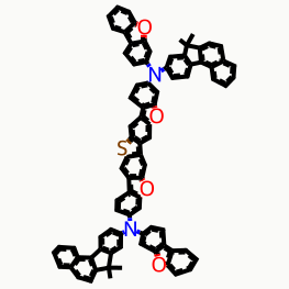 CC1(C)c2cc(N(c3ccc4c(c3)oc3ccccc34)c3ccc4c(c3)oc3cc5c(cc34)sc3cc4c(cc35)oc3cc(N(c5ccc6c(c5)C(C)(C)c5ccc7ccccc7c5-6)c5ccc6c(c5)oc5ccccc56)ccc34)ccc2-c2c1ccc1ccccc21